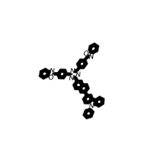 c1ccc(-n2c3ccccc3c3cc(-c4ccc5cc(-c6nc(-c7ccc(-c8nc9ccccc9o8)cc7)nc(-c7ccc(-c8nc9ccccc9o8)cc7)n6)ccc5c4)ccc32)cc1